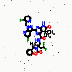 CC1(C)C(=O)Nc2nc(-c3nn(Cc4ncccc4F)c4ncc(F)cc34)nc(C(=O)NCC(C)(CC(F)F)N(C(=O)O)C(I)c3ccccc3)c21